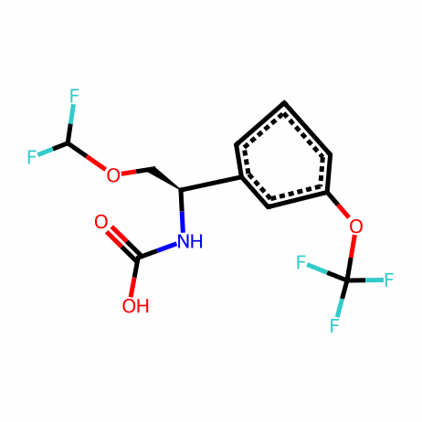 O=C(O)N[C@@H](COC(F)F)c1cccc(OC(F)(F)F)c1